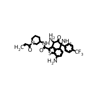 C=CC(=O)N1CCCC(NC(=O)c2sc3c(N)ccc4c3c2C(N)C(=O)C4(N)c2ccc(C(F)(F)F)cc2)C1